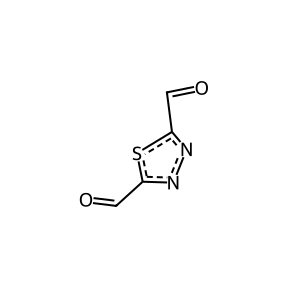 O=Cc1nnc(C=O)s1